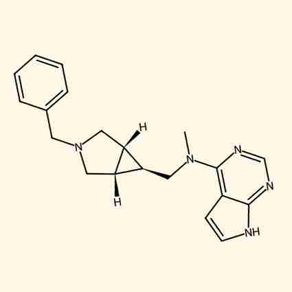 CN(C[C@H]1[C@@H]2CN(Cc3ccccc3)C[C@@H]21)c1ncnc2[nH]ccc12